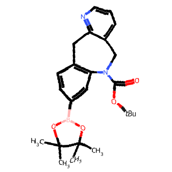 CC(C)(C)OC(=O)N1Cc2cccnc2Cc2ccc(B3OC(C)(C)C(C)(C)O3)cc21